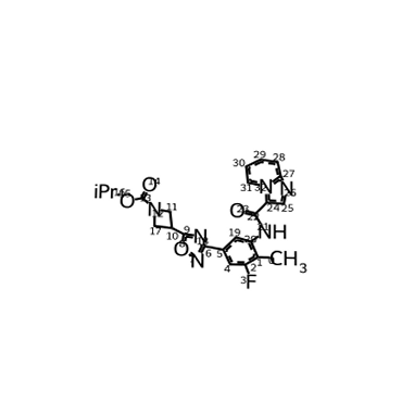 Cc1c(F)cc(-c2noc(C3CN(C(=O)OC(C)C)C3)n2)cc1NC(=O)c1cnc2ccccn12